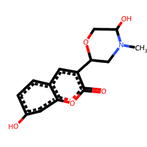 CN1CC(c2cc3ccc(O)cc3oc2=O)OCC1O